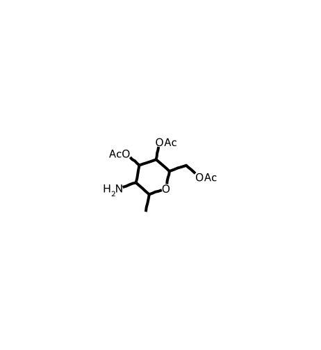 CC(=O)OCC1OC(C)C(N)C(OC(C)=O)C1OC(C)=O